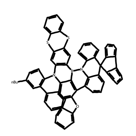 CCCCc1ccc(N2c3cc4c(cc3B3c5c2cc2c(oc6ccccc62)c5-c2cccc5c2N3c2ccccc2C52c3ccccc3-c3ccccc32)Sc2ccccc2S4)c(-c2ccccc2)c1